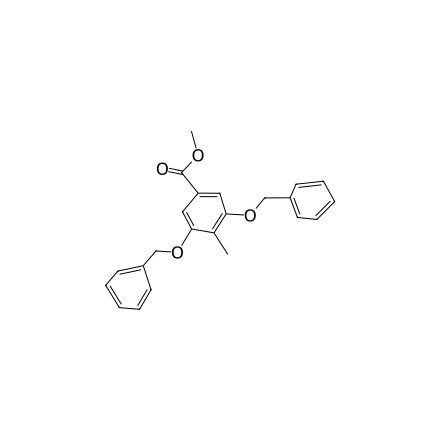 COC(=O)c1cc(OCc2ccccc2)c(C)c(OCc2ccccc2)c1